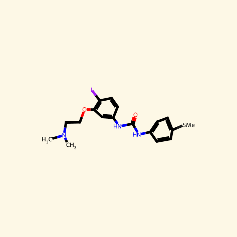 CSc1ccc(NC(=O)Nc2ccc(I)c(OCCN(C)C)c2)cc1